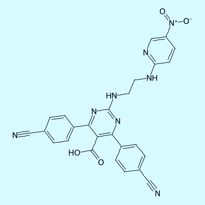 N#Cc1ccc(-c2nc(NCCNc3ccc([N+](=O)[O-])cn3)nc(-c3ccc(C#N)cc3)c2C(=O)O)cc1